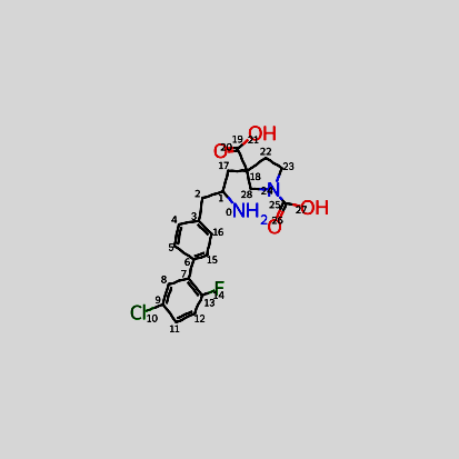 NC(Cc1ccc(-c2cc(Cl)ccc2F)cc1)CC1(C(=O)O)CCN(C(=O)O)C1